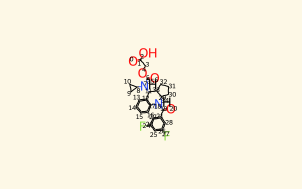 O=C(O)COC(=O)N(C1CC1)[C@H]1c2ccccc2N(C(=O)c2cc(F)cc(F)c2)[C@@H]2CCC[C@@H]21